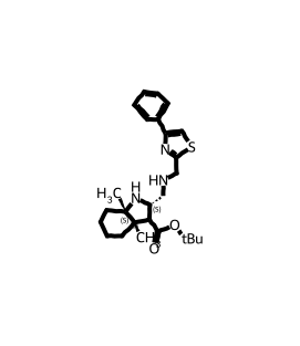 CC(C)(C)OC(=O)C1[C@@H](CNCc2nc(-c3ccccc3)cs2)N[C@@]2(C)CCCC[C@@]12C